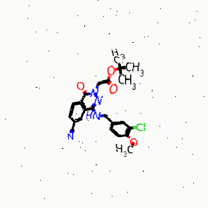 COc1ccc(CNc2nn(CC(=O)OC(C)(C)C)c(=O)c3ccc(C#N)cc23)cc1Cl